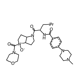 CC(C)CC(NC(=O)c1ccc(N2CCN(C)CC2)cc1)C(=O)N1CCC2C1CC[N+]2([O-])C(=O)N1CCOCC1